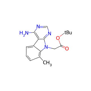 Cc1cccc2c3c(N)ncnc3n(CC(=O)OC(C)(C)C)c12